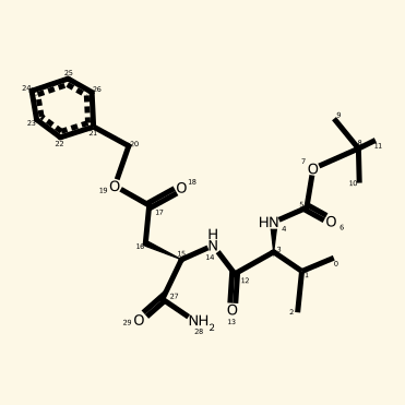 CC(C)[C@H](NC(=O)OC(C)(C)C)C(=O)N[C@H](CC(=O)OCc1ccccc1)C(N)=O